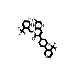 Cc1cnc2cc(C3CCC(c4cnccc4C(F)(F)F)CC3)c(=O)n(Cc3ncccc3C(F)(F)F)c2n1